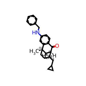 C[C@H]1[C@H]2C(=O)c3ccc(NCc4ccccc4)cc3[C@@]1(C)CCC2CC1CC1